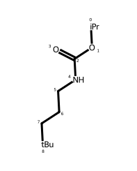 CC(C)OC(=O)NCCCC(C)(C)C